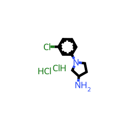 Cl.Cl.NC1CCN(c2cccc(Cl)c2)C1